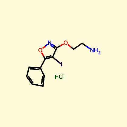 Cl.NCCOc1noc(-c2ccccc2)c1I